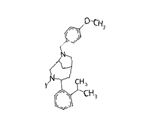 COc1ccc(CN2CC3CC(c4ccccc4C(C)C)N(I)CC2C3)cc1